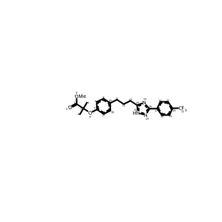 COC(=O)C(C)(C)Oc1ccc(CCCc2nc(-c3ccc(C(F)(F)F)cc3)n[nH]2)cc1